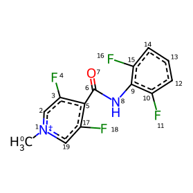 C[n+]1cc(F)c(C(=O)Nc2c(F)cccc2F)c(F)c1